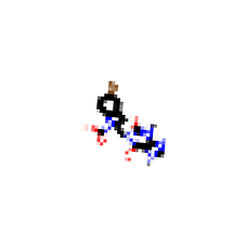 Cn1cnc2c1c(=O)n(Cc1cc3cc(Br)ccc3n1C(=O)O)c(=O)n2C